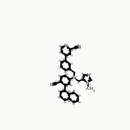 Cn1cncc1CN(Cc1cccc(-c2ccnc(C#N)c2)c1)c1ccc(C#N)c(-c2cccc3ccccc23)c1